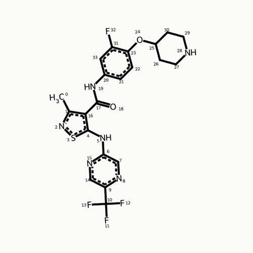 Cc1nsc(Nc2cnc(C(F)(F)F)cn2)c1C(=O)Nc1ccc(OC2CCNCC2)c(F)c1